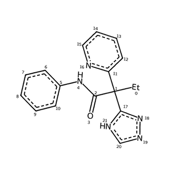 CCC(C(=O)Nc1ccccc1)(c1ccccn1)c1nnc[nH]1